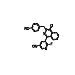 N#Cc1ccc(Cn2nc(-c3cc(N=O)cnc3F)c3ccccc3c2=O)cc1